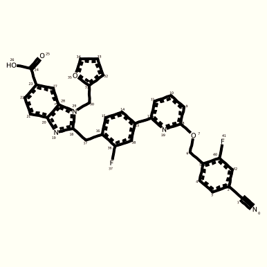 N#Cc1ccc(COc2cccc(-c3ccc(Cc4nc5ccc(C(=O)O)cc5n4Cc4ccco4)c(F)c3)n2)c(F)c1